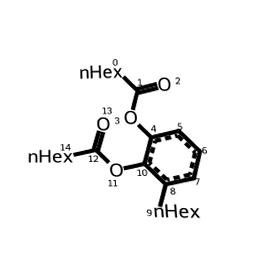 CCCCCCC(=O)Oc1cccc(CCCCCC)c1OC(=O)CCCCCC